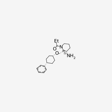 CCC(=O)N1CCC[C@H](N)[C@@H]1CO[C@H]1CC[C@@H](c2ccccc2)CC1